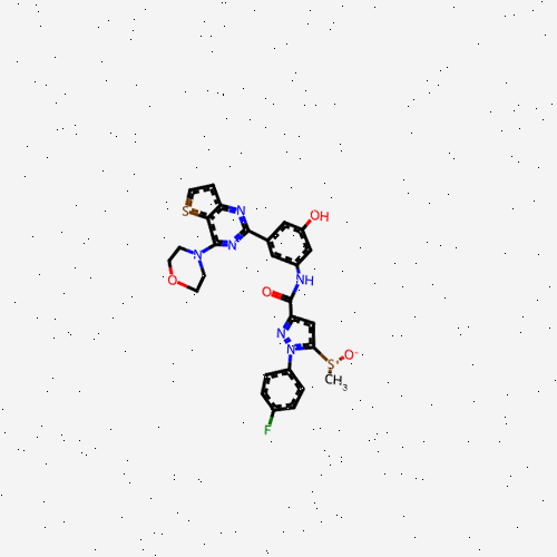 C[S+]([O-])c1cc(C(=O)Nc2cc(O)cc(-c3nc(N4CCOCC4)c4sccc4n3)c2)nn1-c1ccc(F)cc1